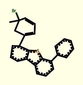 CC1(Br)C=CC=C(c2cccc3c2sc2c(-c4ccccc4)cccc23)C1